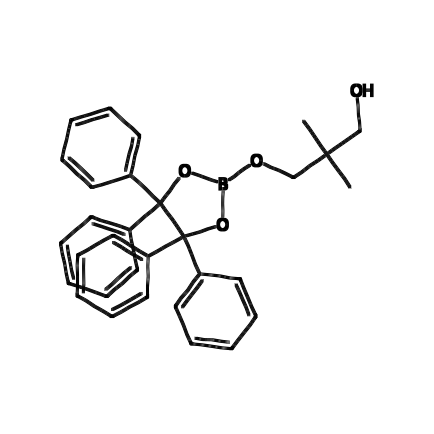 CC(C)(CO)COB1OC(c2ccccc2)(c2ccccc2)C(c2ccccc2)(c2ccccc2)O1